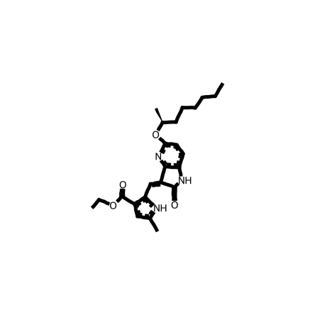 CCCCCC[C@H](C)Oc1ccc2c(n1)/C(=C/c1[nH]c(C)cc1C(=O)OCC)C(=O)N2